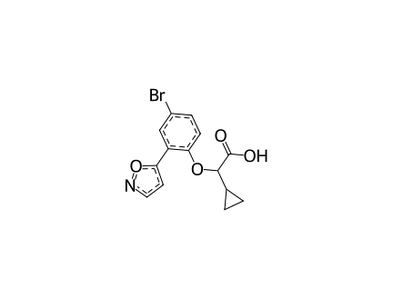 O=C(O)C(Oc1ccc(Br)cc1-c1ccno1)C1CC1